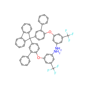 Nc1cc(Oc2ccc(C3(c4ccc(Oc5cc(N)cc(C(F)(F)F)c5)c(-c5ccccc5)c4)c4ccccc4-c4ccccc43)cc2-c2ccccc2)cc(C(F)(F)F)c1